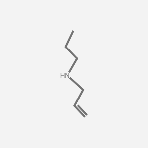 [CH]=CCNCCC